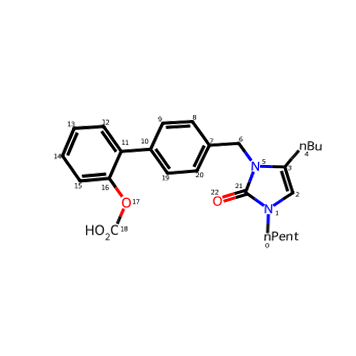 CCCCCn1cc(CCCC)n(Cc2ccc(-c3ccccc3OC(=O)O)cc2)c1=O